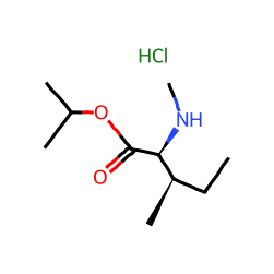 CC[C@@H](C)[C@H](NC)C(=O)OC(C)C.Cl